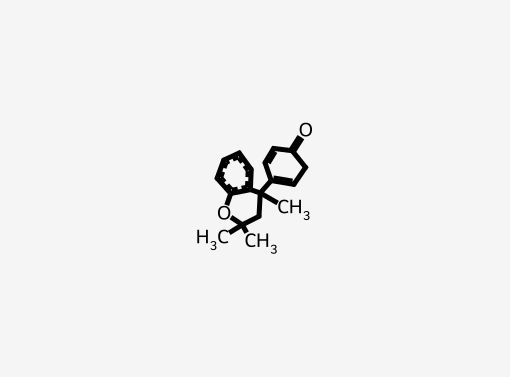 CC1(C)CC(C)(C2=CCC(=O)C=C2)c2ccccc2O1